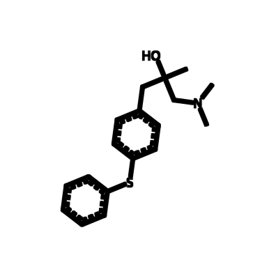 CN(C)CC(C)(O)Cc1ccc(Sc2ccccc2)cc1